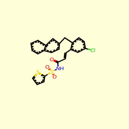 O=C(C=Cc1cc(Cl)ccc1Cc1ccc2ccccc2c1)NS(=O)(=O)c1cccs1